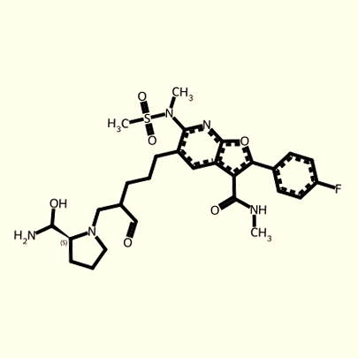 CNC(=O)c1c(-c2ccc(F)cc2)oc2nc(N(C)S(C)(=O)=O)c(CCCC(C=O)CN3CCC[C@H]3C(N)O)cc12